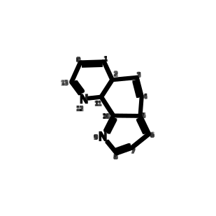 C1=CC2C=Cc3cccnc3C2N=C1